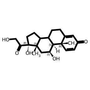 C[C@]12C=CC(=O)C=C1CCC1C3CC[C@](O)(C(=O)CO)[C@@]3(C)C[C@H](O)[C@@H]12